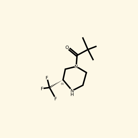 CC(C)(C)C(=O)N1CCN[C@H](C(F)(F)F)C1